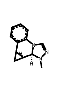 CN1N=CN2c3ccccc3C3C[C@@H]3[C@H]12